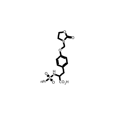 CCCS(=O)(=O)NC(Cc1ccc(OCN2CCOC2=O)cc1)C(=O)O